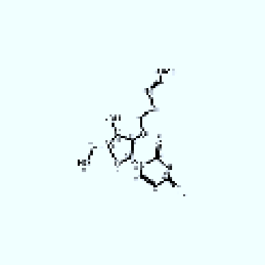 COC=NOCO[C@@H]1[C@H](O)[C@@H](CO)O[C@H]1n1ccc(=O)[nH]c1=O